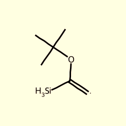 [CH]=C([SiH3])OC(C)(C)C